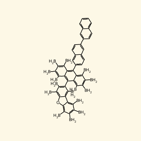 Bc1c(B)c(B)c2c(oc3c(B)c(B)c(-c4c5c(B)c(B)c(B)c(B)c5c(-c5ccc6cc(-c7ccc8ccccc8c7)ccc6c5)c5c(B)c(B)c(B)c(B)c45)c(B)c32)c1B